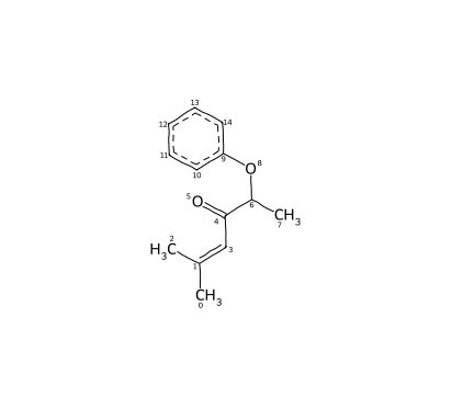 CC(C)=CC(=O)C(C)Oc1ccccc1